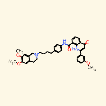 COc1cccc(-c2cc(=O)c3cccc(C(=O)Nc4ccc(CCCCN5CCc6cc(OC)c(OC)cc6C5)cc4)c3[nH]2)c1